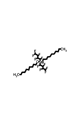 CCCCCCCCCC[O][Sn]([O]CCCCCCCCCC)([CH](F)C(F)C(F)C(F)F)[CH](F)C(F)C(F)C(F)F